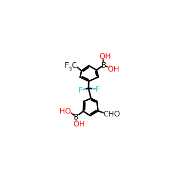 O=Cc1cc(B(O)O)cc(C(F)(F)c2cc(B(O)O)cc(C(F)(F)F)c2)c1